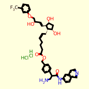 Cl.Cl.NCC(C(=O)Nc1ccc2cnccc2c1)c1ccc(COC(=O)CCC/C=C\C[C@@H]2[C@@H](/C=C/C(O)COc3cccc(C(F)(F)F)c3)[C@H](O)C[C@@H]2O)cc1